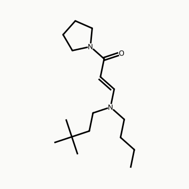 CCCCN(/C=C/C(=O)N1CCCC1)CCC(C)(C)C